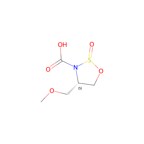 COC[C@H]1COS(=O)N1C(=O)O